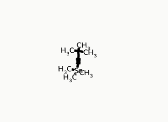 CC(C)(C)C#[C][Sn]([CH3])([CH3])[CH3]